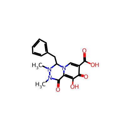 CN1C(=O)c2c(O)c(=O)c(C(=O)O)cn2C(Cc2ccccc2)N1C